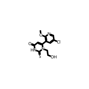 COc1ncc(Cl)cc1-c1cc(=O)[nH]c(=S)n1CCO